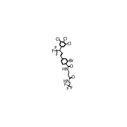 O=C(CCNC(=O)c1ccc(/C=C/C(c2cc(Cl)c(Cl)c(Cl)c2)C(F)(F)F)cc1Br)NCC(F)(F)F